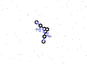 CC(C)Nc1cc(N2CCCCC2)ccc1C1=CC2=CC=CC3=CC(c4ccc(N5CCCCC5)cc4NC(C)C)=NC(=N1)C23